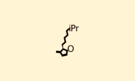 C=C1C=CC(=O)[C@@H]1CCCCCC(C)C